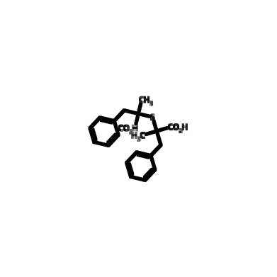 CC(Cc1ccccc1)(SC(C)(Cc1ccccc1)C(=O)O)C(=O)O